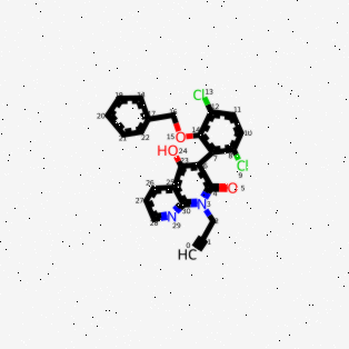 C#CCn1c(=O)c(-c2c(Cl)ccc(Cl)c2OCc2ccccc2)c(O)c2cccnc21